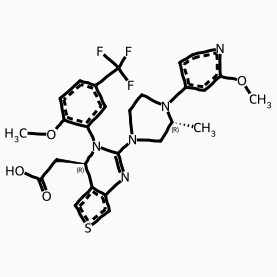 COc1cc(N2CCN(C3=Nc4cscc4[C@@H](CC(=O)O)N3c3cc(C(F)(F)F)ccc3OC)C[C@H]2C)ccn1